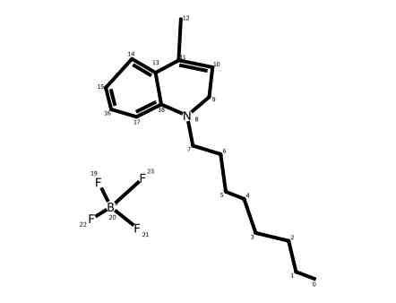 CCCCCCCCN1CC=C(C)c2ccccc21.F[B-](F)(F)F